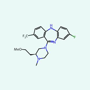 COCC[C@H]1CN(C2=Nc3cc(F)ccc3Nc3ccc(C(F)(F)F)cc32)CCN1C